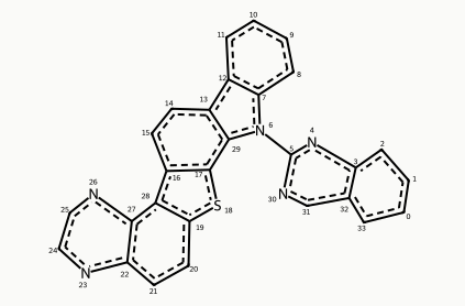 c1ccc2nc(-n3c4ccccc4c4ccc5c(sc6ccc7nccnc7c65)c43)ncc2c1